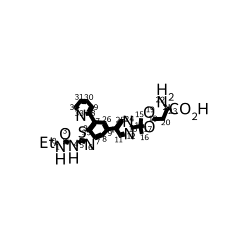 CCNC(=O)Nc1nc2cc(-c3cnc(C(C)(C)OC(=O)CC(N)C(=O)O)nc3)cc(-c3ccccn3)c2s1